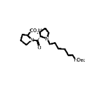 CCCCCCCCCCCCCCCCN1CCC[C@H]1C(=O)N1CCCC1C(=O)O